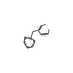 C/C=C\C(=C/C)Cc1ccccc1